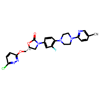 N#Cc1ccc(N2CCN(c3ccc(N4C[C@H](COc5ccc(Cl)nn5)OC4=O)cc3F)CC2)nc1